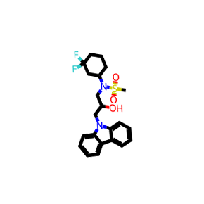 CS(=O)(=O)N(CC(O)Cn1c2ccccc2c2ccccc21)C1CCCC(F)(F)C1